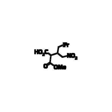 COC(=O)C(C(=O)O)C(CC(C)C)C[N+](=O)[O-]